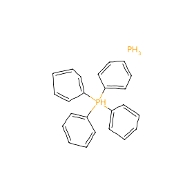 P.c1ccc([PH](c2ccccc2)(c2ccccc2)c2ccccc2)cc1